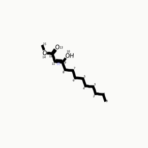 CCCCCCCCC/C(O)=C/C(=O)OC